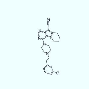 N#Cc1c2n(c3c(N4CCN(CCc5cccc(Cl)c5)CC4)ncnc13)CCCC2